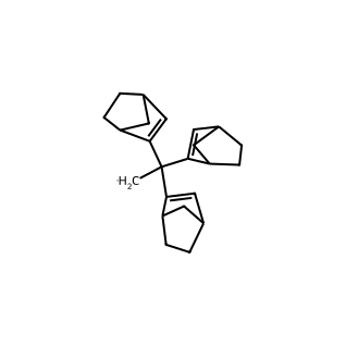 [CH2]C(C1=CC2CCC1C2)(C1=CC2CCC1C2)C1=CC2CCC1C2